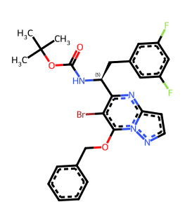 CC(C)(C)OC(=O)N[C@@H](Cc1cc(F)cc(F)c1)c1nc2ccnn2c(OCc2ccccc2)c1Br